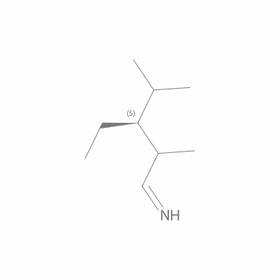 CC[C@@H](C(C)C)C(C)C=N